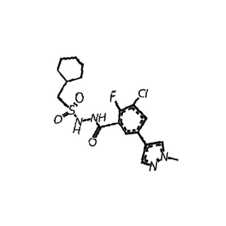 Cn1cc(-c2cc(Cl)c(F)c(C(=O)NNS(=O)(=O)CC3CCCCC3)c2)cn1